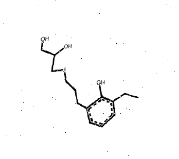 CCc1cccc(CCCSCC(O)CO)c1O